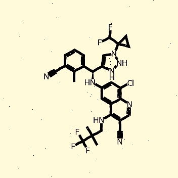 Cc1c(C#N)cccc1[C@H](Nc1cc(Cl)c2ncc(C#N)c(NCC(C)(C)C(F)(F)F)c2c1)C1=CN(C2(C(F)F)CC2)NN1